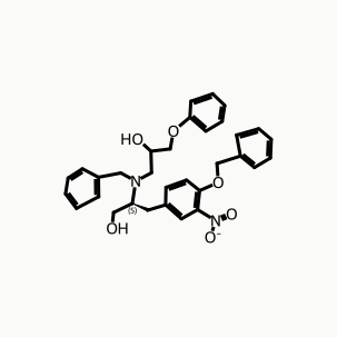 O=[N+]([O-])c1cc(C[C@@H](CO)N(Cc2ccccc2)CC(O)COc2ccccc2)ccc1OCc1ccccc1